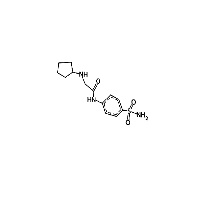 NS(=O)(=O)c1ccc(NC(=O)CNC2CCCC2)cc1